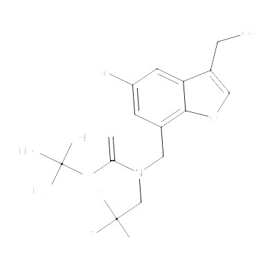 CC(C)(C)OC(=O)N(Cc1cc(Br)cc2c(CO)coc12)CC(F)(F)F